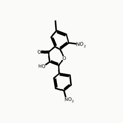 Cc1cc([N+](=O)[O-])c2oc(-c3ccc([N+](=O)[O-])cc3)c(O)c(=O)c2c1